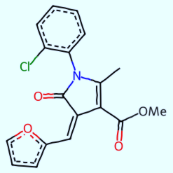 COC(=O)C1=C(C)N(c2ccccc2Cl)C(=O)/C1=C\c1ccco1